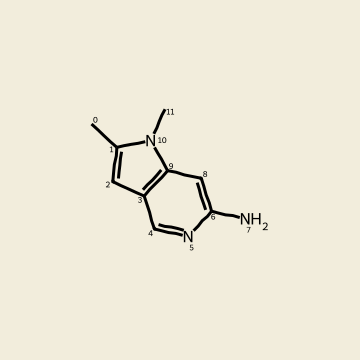 Cc1cc2cnc(N)cc2n1C